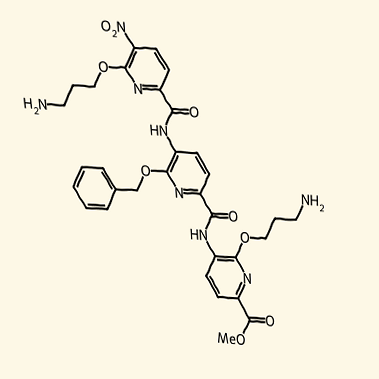 COC(=O)c1ccc(NC(=O)c2ccc(NC(=O)c3ccc([N+](=O)[O-])c(OCCCN)n3)c(OCc3ccccc3)n2)c(OCCCN)n1